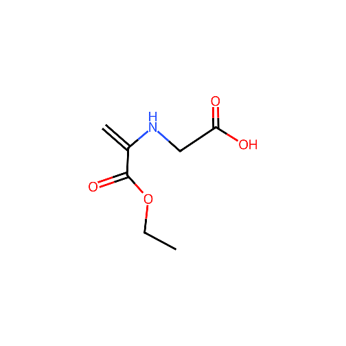 C=C(NCC(=O)O)C(=O)OCC